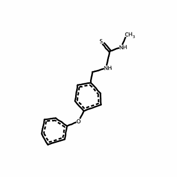 CNC(=S)NCc1ccc(Oc2ccccc2)cc1